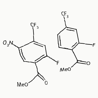 COC(=O)c1cc([N+](=O)[O-])c(C(F)(F)F)cc1F.COC(=O)c1ccc(C(F)(F)F)cc1F